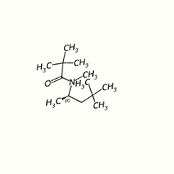 C[C@H](CC(C)(C)C)N(C)C(=O)C(C)(C)C